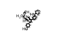 COC[C@H](C)Nc1ncc2c(-c3ccnc(NC4CCOCC4)c3)cc([C@H]3CC[C@H](O)CC3)n2n1